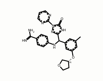 Cc1cc(O[C@@H]2CCOC2)cc(C(Nc2ccc(C(=N)N)cc2)c2nn(-c3ncccn3)c(=O)[nH]2)c1